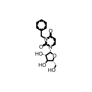 O=c1ccn([C@@H]2O[C@H](CO)C(O)[C@@H]2O)c(=O)n1Cc1ccccc1